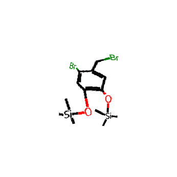 C[Si](C)(C)Oc1cc(Br)c(CBr)cc1O[Si](C)(C)C